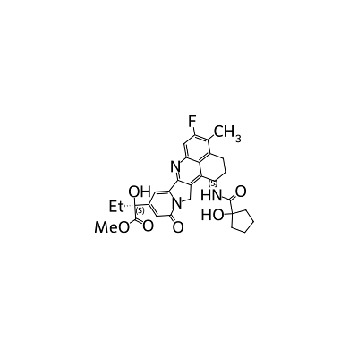 CC[C@@](O)(C(=O)OC)c1cc2n(c(=O)c1)Cc1c-2nc2cc(F)c(C)c3c2c1[C@@H](NC(=O)C1(O)CCCC1)CC3